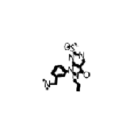 C=CCn1c(=O)c2cnc([S+](C)[O-])nc2n1-c1cccc(CN(C)C)c1